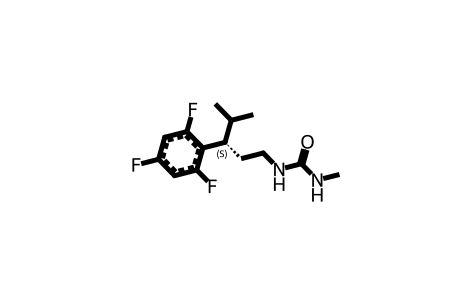 CNC(=O)NCC[C@H](c1c(F)cc(F)cc1F)C(C)C